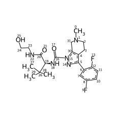 CN1CCc2c(-c3cc(F)ccc3F)nn(C(=O)N[C@H](C(=O)NCCO)C(C)(C)C)c2C1